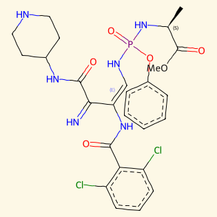 COC(=O)[C@H](C)NP(=O)(N/C=C(/NC(=O)c1c(Cl)cccc1Cl)C(=N)C(=O)NC1CCNCC1)Oc1ccccc1